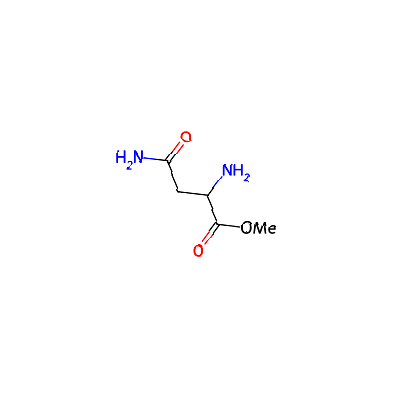 COC(=O)C(N)CC(N)=O